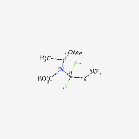 COC(C)N(C(=O)O)C(F)(F)CC(F)(F)F